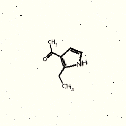 CCc1[nH]ccc1C(C)=O